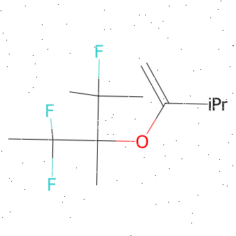 C=C(OC(C)(C(C)(C)F)C(C)(F)F)C(C)C